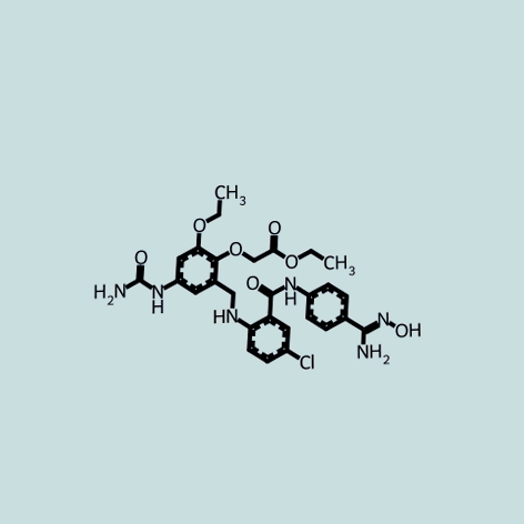 CCOC(=O)COc1c(CNc2ccc(Cl)cc2C(=O)Nc2ccc(/C(N)=N/O)cc2)cc(NC(N)=O)cc1OCC